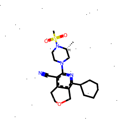 C[C@@H]1CN(c2nc(C3CCCCC3)c3c(c2C#N)CCOC3)CCN1S(C)(=O)=O